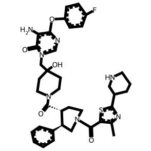 Cc1nc(C2CCCNC2)sc1C(=O)N1CC[C@@H](C(=O)N2CCC(O)(Cn3cnc(Oc4ccc(F)cc4)c(N)c3=O)CC2)[C@H](c2ccccc2)C1